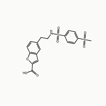 CS(=O)(=O)c1ccc(S(=O)(=O)NCCc2ccc3oc(C(=O)O)cc3c2)cc1